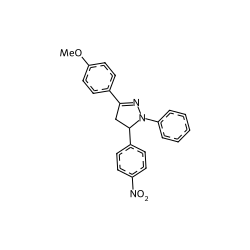 COc1ccc(C2=NN(c3ccccc3)C(c3ccc([N+](=O)[O-])cc3)C2)cc1